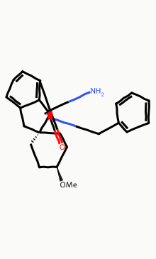 CO[C@H]1CC[C@]2(CC1)Cc1ccccc1C21N=C(N)N(Cc2ccccc2)C1=O